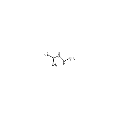 CCCC(C)NNN